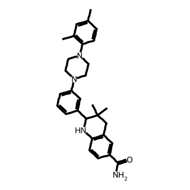 Cc1ccc(N2CCN(c3cccc(C4Nc5ccc(C(N)=O)cc5CC4(C)C)c3)CC2)c(C)c1